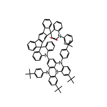 CC(C)(C)c1ccc(N2c3ccc(C(C)(C)C)cc3B3c4cc(C(C)(C)C)ccc4N(c4ccc(C(C)(C)C)cc4)c4cc(N5c6ccccc6C6(c7ccccc7-c7cc8c(cc76)C6(c7ccccc7-8)c7ccccc7N(c7ccccc7)c7ccccc76)c6ccccc65)cc2c43)cc1